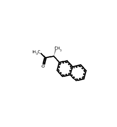 CC(=O)[C@H](C)c1ccc2ccccc2c1